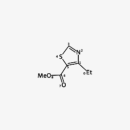 CCc1ncsc1C(=O)OC